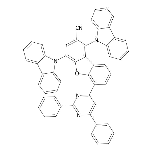 N#Cc1cc(-n2c3ccccc3c3ccccc32)c2oc3c(-c4cc(-c5ccccc5)nc(-c5ccccc5)n4)cccc3c2c1-n1c2ccccc2c2ccccc21